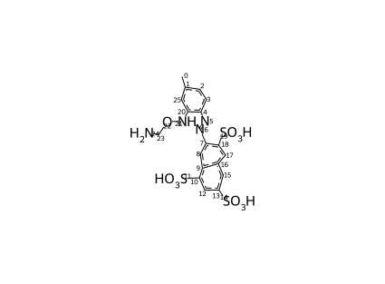 Cc1ccc(N=Nc2cc3c(S(=O)(=O)O)cc(S(=O)(=O)O)cc3cc2S(=O)(=O)O)c(NOCN)c1